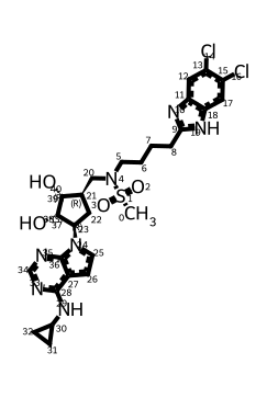 CS(=O)(=O)N(CCCCc1nc2cc(Cl)c(Cl)cc2[nH]1)C[C@H]1C[C@@H](n2ccc3c(NC4CC4)ncnc32)[C@H](O)[C@@H]1O